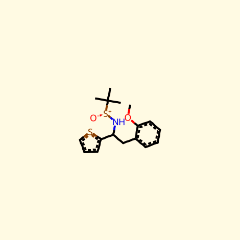 COc1ccccc1CC(N[S@+]([O-])C(C)(C)C)c1cccs1